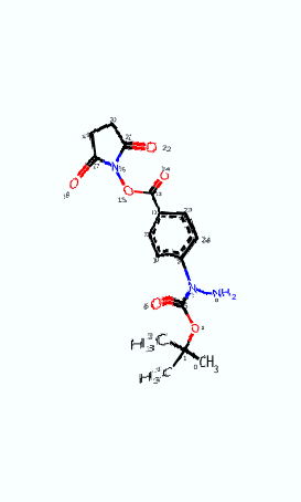 CC(C)(C)OC(=O)N(N)c1ccc(C(=O)ON2C(=O)CCC2=O)cc1